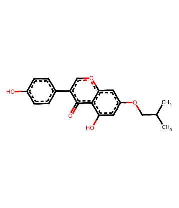 CC(C)COc1cc(O)c2c(=O)c(-c3ccc(O)cc3)coc2c1